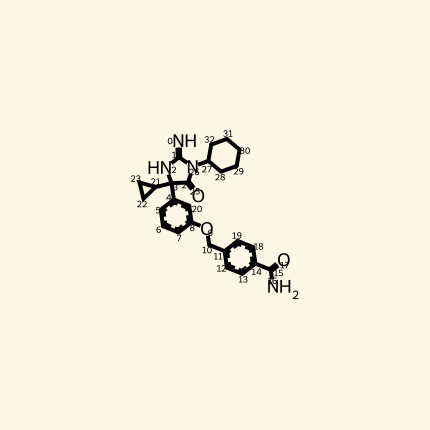 N=C1NC(c2cccc(OCc3ccc(C(N)=O)cc3)c2)(C2CC2)C(=O)N1C1CCCCC1